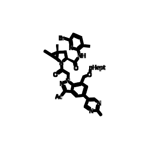 CCCCCCCOCc1cc(-c2cnc(C)nc2)cc2c(C(C)=O)nn(CC(=O)N3C4C(C)[C@]4(C)C[C@H]3C(=O)Nc3nc(Br)ccc3C)c12